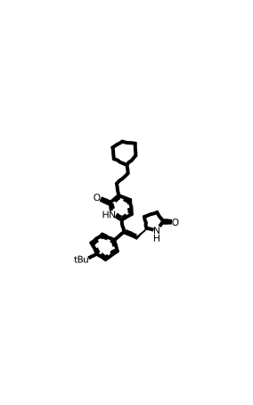 CC(C)(C)c1ccc(C(=C[C@H]2CCC(=O)N2)c2ccc(CCC3CCCCC3)c(=O)[nH]2)cc1